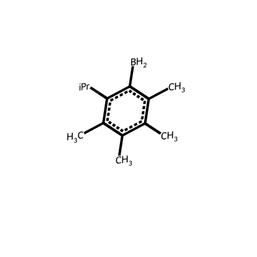 Bc1c(C)c(C)c(C)c(C)c1C(C)C